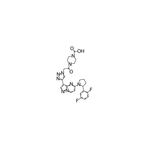 O=C(O)N1CCN(C(=O)Cn2cc(-c3cnn4ccc(N5CCCC5c5cc(F)ccc5F)nc34)nn2)CC1